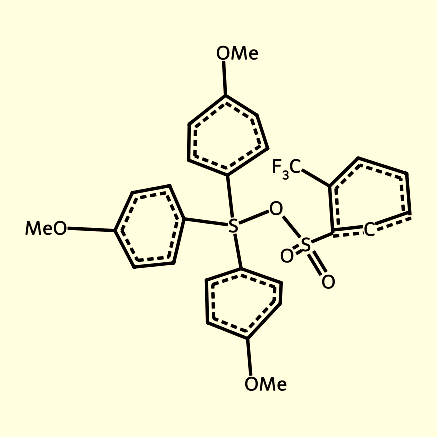 COc1ccc(S(OS(=O)(=O)c2ccccc2C(F)(F)F)(c2ccc(OC)cc2)c2ccc(OC)cc2)cc1